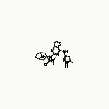 Cc1cc(Nc2nc(NC3CC4CCC(C3)N4CC(=O)N(C)C)nc3ccsc23)n[nH]1